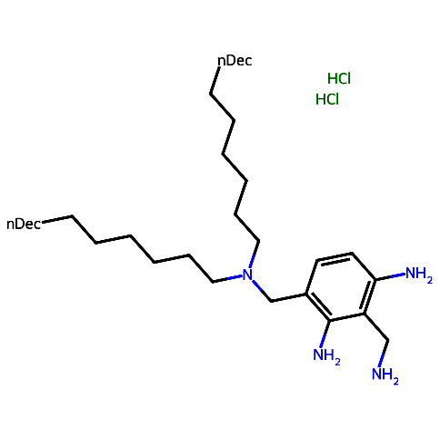 CCCCCCCCCCCCCCCCN(CCCCCCCCCCCCCCCC)Cc1ccc(N)c(CN)c1N.Cl.Cl